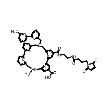 Cc1cccc(-c2cccc(CN3Cc4cccc(n4)-c4cccc(n4)CN(C)Cc4cc(C(=O)O)cc(n4)-c4cc(C(=O)NCCNC(=O)CCCN5C(=O)C=CC5=O)cc(n4)C3)n2)n1